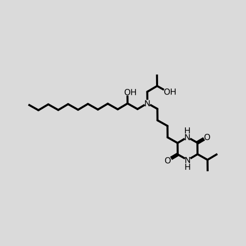 CCCCCCCCCCC(O)CN(CCCCC1NC(=O)C(C(C)C)NC1=O)CC(C)O